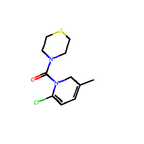 CC1=CC=C(Cl)N(C(=O)N2CCSCC2)C1